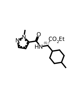 CCOC(=O)[C@@H](NC(=O)c1ccnn1C)C1CCC(C)CC1